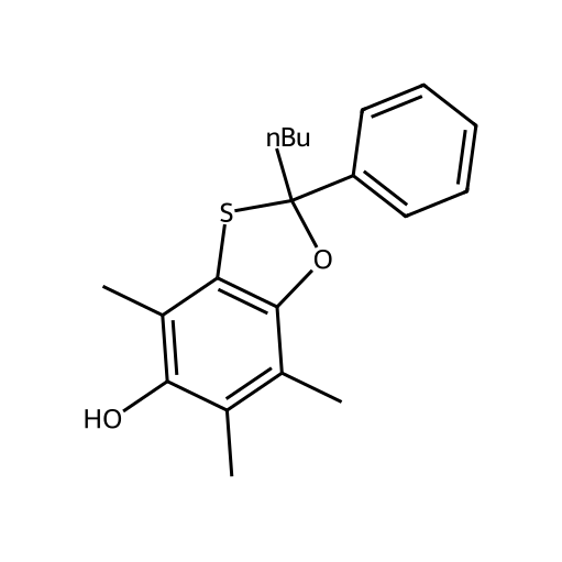 CCCCC1(c2ccccc2)Oc2c(C)c(C)c(O)c(C)c2S1